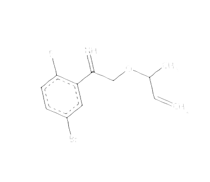 C=CC(C)OCC(=N)c1cc(Br)ccc1F